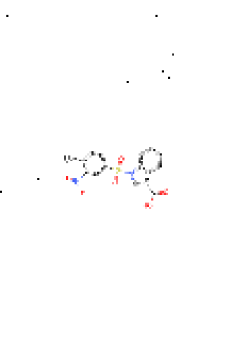 Cc1ccc(S(=O)(=O)n2cc(C(=O)O)c3ccccc32)cc1[N+](=O)[O-]